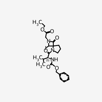 CCOC(=O)CN1C(=O)C2(CCCN2C(=O)[C@@H](NC(=O)OCc2ccccc2)C(C)C)C1I